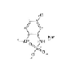 COc1ccc(Cl)cc1NS(=O)(=O)[O-].[Na+]